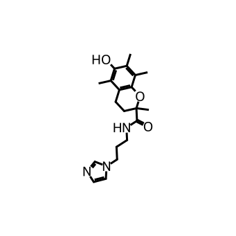 Cc1c(C)c2c(c(C)c1O)CCC(C)(C(=O)NCCCn1ccnc1)O2